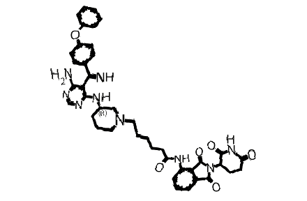 N=C(c1ccc(Oc2ccccc2)cc1)c1c(N)ncnc1N[C@@H]1CCCN(CCCCCC(=O)Nc2cccc3c2C(=O)N(C2CCC(=O)NC2=O)C3=O)C1